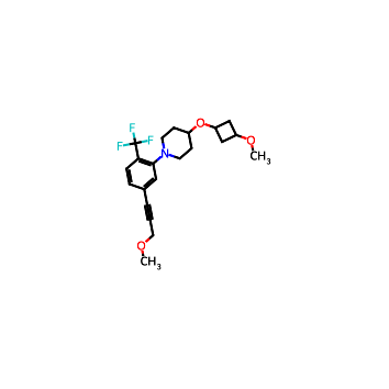 COCC#Cc1ccc(C(F)(F)F)c(N2CCC(OC3CC(OC)C3)CC2)c1